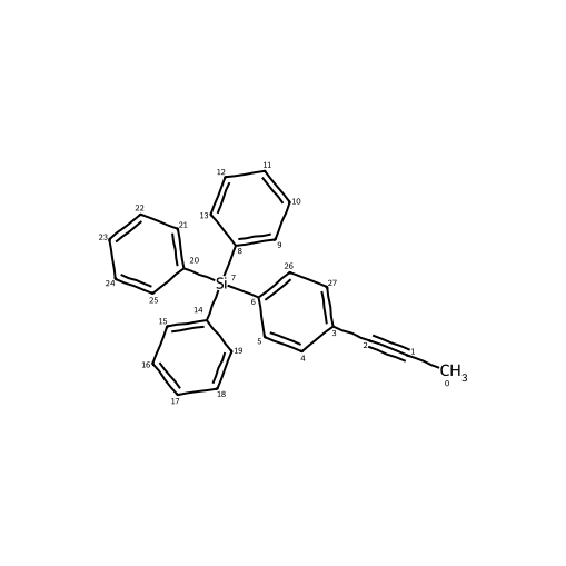 CC#Cc1ccc([Si](c2ccccc2)(c2ccccc2)c2ccccc2)cc1